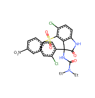 CCN(CC)C(=O)NC1(c2ccccc2Cl)C(=O)Nc2ccc(Cl)c(S(=O)(=O)c3ccc([N+](=O)[O-])cc3)c21